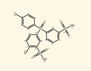 O=P(c1ccc(Cl)cc1)(c1cccc(S(=O)(=O)O)c1)c1ccc(Cl)c(S(=O)(=O)O)c1